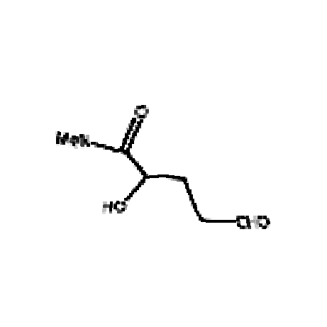 CNC(=O)C(O)CCC=O